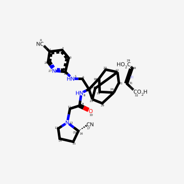 N#Cc1ccc(NCC2(NC(=O)CN3CCC[C@H]3C#N)C3CC4CC(C3)CC2C4)nc1.O=C(O)/C=C/C(=O)O